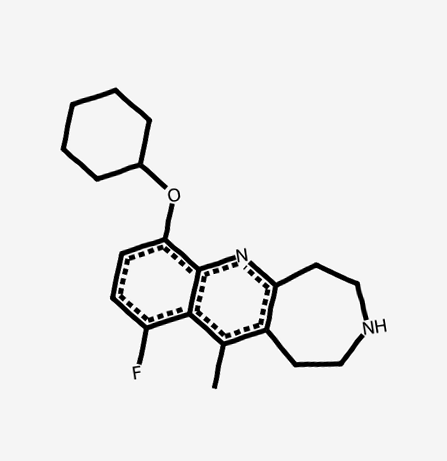 Cc1c2c(nc3c(OC4CCCCC4)ccc(F)c13)CCNCC2